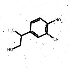 C[C](CO)c1ccc([N+](=O)[O-])c(C#N)c1